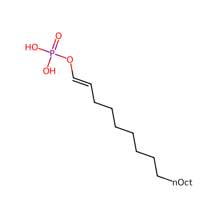 CCCCCCCCCCCCCCCC=COP(=O)(O)O